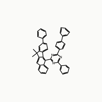 CC1(C)c2cc(-c3ccccc3)ccc2-c2c1cc1ccccc1c2-c1nc(-c2ccccc2)nc(-c2ccc(-c3ccccc3)cc2)n1